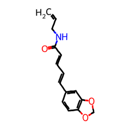 C=CCNC(=O)C=CC=Cc1ccc2c(c1)OCO2